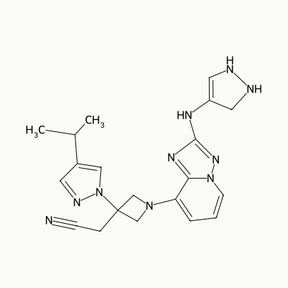 CC(C)c1cnn(C2(CC#N)CN(c3cccn4nc(NC5=CNNC5)nc34)C2)c1